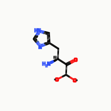 N[C@@H](Cc1c[nH]cn1)C(=O)C([O])[O]